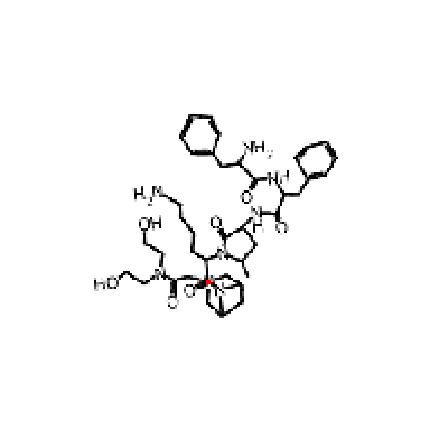 CC1CC(NC(=O)C(Cc2ccccc2)NC(=O)C(N)Cc2ccccc2)C(=O)N1C(CCCCN)C(=O)N1C2CC1CN(CC(=O)N(CCO)CCO)C2